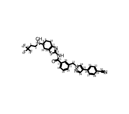 CN(CCC(F)(F)F)C1CCc2nc(NC(=O)c3cccc(Cn4cc(-c5ccc(C#N)cc5)cn4)c3)sc2C1